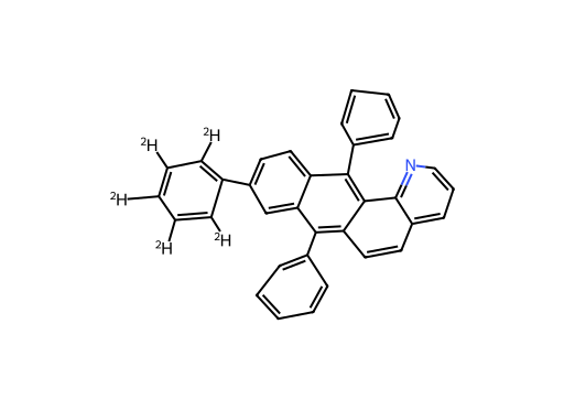 [2H]c1c([2H])c([2H])c(-c2ccc3c(-c4ccccc4)c4c(ccc5cccnc54)c(-c4ccccc4)c3c2)c([2H])c1[2H]